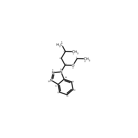 CCOC(CC(C)C)n1nnc2ccccc21